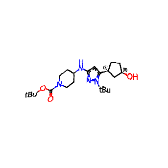 CC(C)(C)OC(=O)N1CCC(Nc2cc([C@H]3CC[C@@H](O)C3)n(C(C)(C)C)n2)CC1